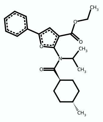 CCOC(=O)c1cc(-c2ccccc2)oc1N(C(=O)[C@H]1CC[C@H](C)CC1)C(C)C